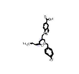 C=C/C=C(Cl)\C=C(/COCc1ccc(Cl)cc1)Cn1ncc2cc(C(=O)O)ccc21